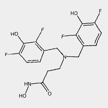 O=C(CCN(Cc1ccc(F)c(O)c1F)Cc1ccc(F)c(O)c1F)NO